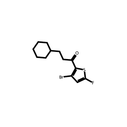 O=C(CCC1CCCCC1)c1sc(F)cc1Br